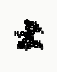 Cc1cc2c3c(c1)N(c1ccc(-c4ncncn4)cc1)c1c(sc4cc5c(cc14)C(C)(C)CCC5(C)C)B3c1ccc(OC(F)(F)F)cc1N2c1ccc2c(c1)C(C)(C)c1ccccc1-2